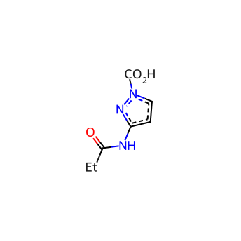 CCC(=O)Nc1ccn(C(=O)O)n1